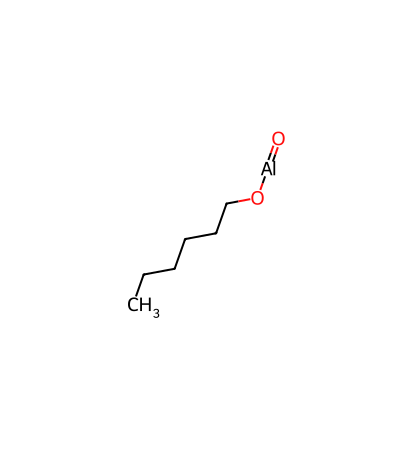 CCCCCC[O][Al]=[O]